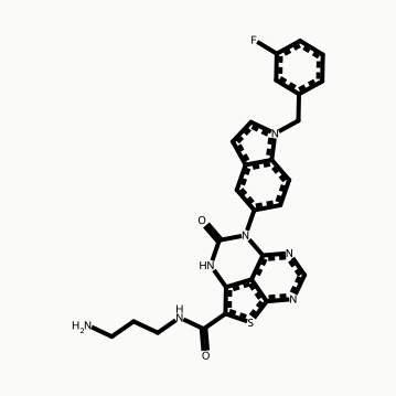 NCCCNC(=O)c1sc2ncnc3c2c1NC(=O)N3c1ccc2c(ccn2Cc2cccc(F)c2)c1